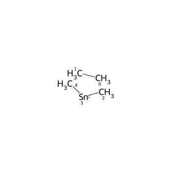 CC.[CH3][Sn][CH3]